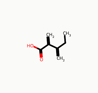 C=C(CC)C(=C)C(=O)O